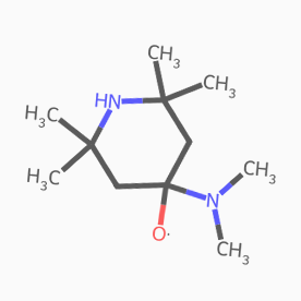 CN(C)C1([O])CC(C)(C)NC(C)(C)C1